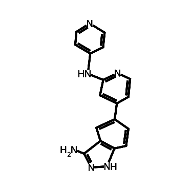 Nc1n[nH]c2ccc(-c3ccnc(Nc4ccncc4)c3)cc12